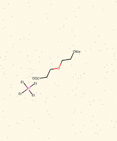 CC[P+](CC)(CC)CC.COCCOCCC(=O)[O-]